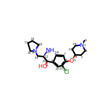 CN1CCC(Oc2ccc(C(O)[C@H](N)CN3CCCC3)cc2Cl)CC1